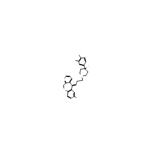 COc1ccc2c(c1)/C(=C/CCN1CCC(O)(c3ccc(Cl)c(Cl)c3)CC1)c1cccnc1CO2